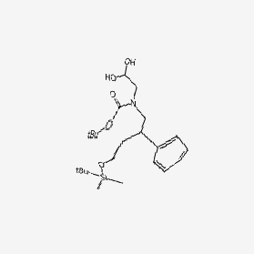 CC(C)(C)OC(=O)N(CC(O)O)CC(CCO[Si](C)(C)C(C)(C)C)c1ccccc1